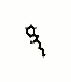 BrCCCC(Br)CC1CCCCC1